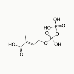 C/C(=C\COP(=O)(O)OP(=O)(O)O)C(=O)O